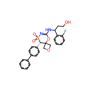 O=S1(=O)N=C(NC(CCO)c2ccccc2F)OC2(COC2)[C@@H]1c1ccc(-c2ccccc2)cc1